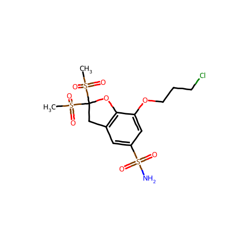 CS(=O)(=O)C1(S(C)(=O)=O)Cc2cc(S(N)(=O)=O)cc(OCCCCl)c2O1